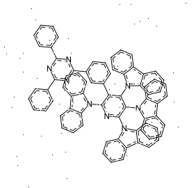 c1ccc(-c2nc(-c3ccccc3)nc(-c3cccc(-c4c(-n5c6ccccc6c6ccccc65)nc(-n5c6ccccc6c6ccccc65)c(-n5c6ccccc6c6ccccc65)c4-n4c5ccccc5c5ccccc54)c3)n2)cc1